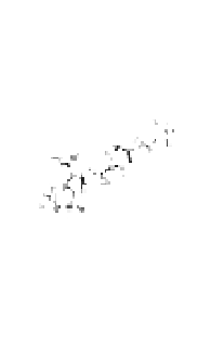 CC1(C)Cc2c(sc(NC(=O)c3ccc(OCC4COC4)cc3)c2C(=O)O)C(C)(C)C1